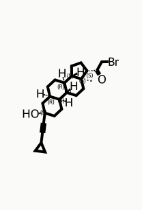 C[C@]12CC[C@H]3[C@@H](CC[C@@H]4C[C@](O)(C#CC5CC5)CC[C@@H]43)[C@@H]1CC[C@@H]2C(=O)CBr